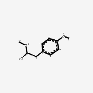 COc1ccc(CC([O])OC)cc1